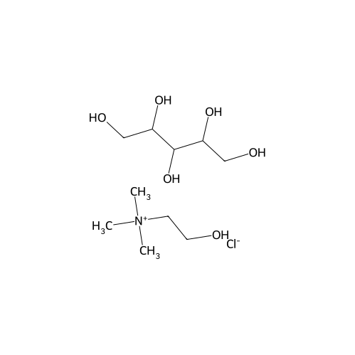 C[N+](C)(C)CCO.OCC(O)C(O)C(O)CO.[Cl-]